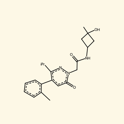 Cc1ccccc1-c1cc(=O)n(CC(=O)NC2CC(C)(O)C2)nc1C(C)C